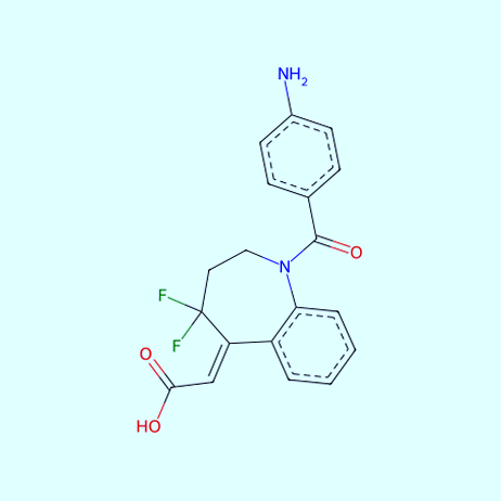 Nc1ccc(C(=O)N2CCC(F)(F)/C(=C\C(=O)O)c3ccccc32)cc1